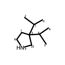 CC(C)C1(C(C)C)CCNC1